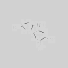 Oc1cc2[nH]c3ccc(Br)cc3c2cc1Br